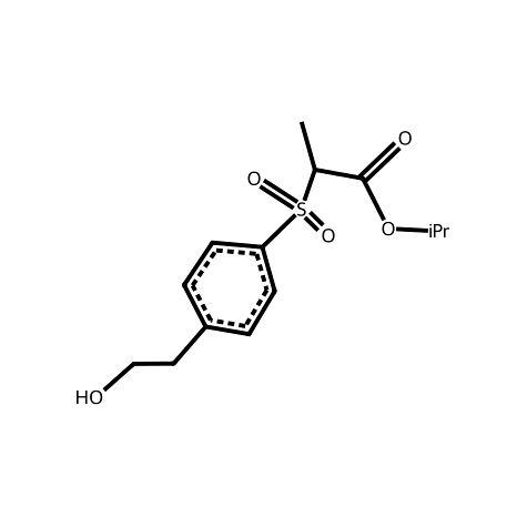 CC(C)OC(=O)C(C)S(=O)(=O)c1ccc(CCO)cc1